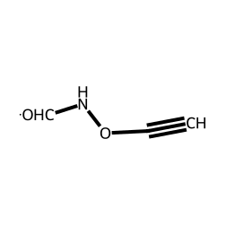 C#CON[C]=O